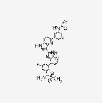 CC(C)C(=O)Nc1cncc(-c2ccc3[nH]nc(-c4nc5c(-c6cc(F)cc(C(N)S(C)(=O)=O)c6)ccnc5[nH]4)c3n2)c1